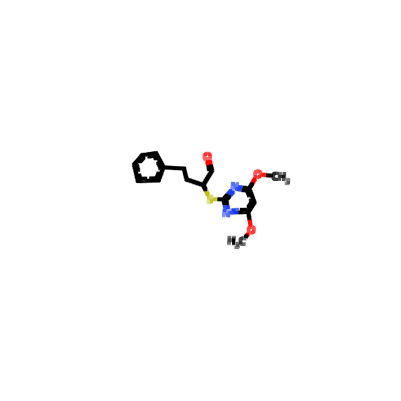 COc1cc(OC)nc(SC(C=O)CCc2ccccc2)n1